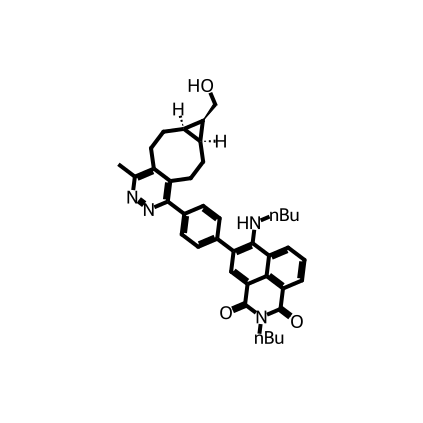 CCCCNc1c(-c2ccc(-c3nnc(C)c4c3CC[C@@H]3[C@H](CO)[C@@H]3CC4)cc2)cc2c3c(cccc13)C(=O)N(CCCC)C2=O